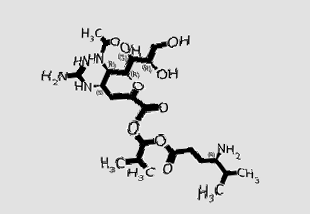 CC(=O)N[C@H]1[C@H]([C@@H](O)[C@H](O)CO)OC(C(=O)OC(OC(=O)CC[C@@H](N)C(C)C)C(C)C)=C[C@@H]1NC(=N)N